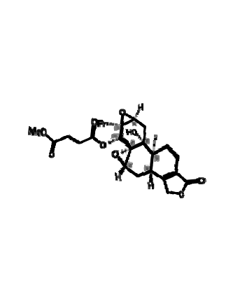 COC(=O)CCC(=O)O[C@@H]1[C@@]2(C(C)C)O[C@H]2C[C@]2(O)[C@]13O[C@H]3C[C@H]1C3=C(CC[C@@]12C)C(=O)OC3